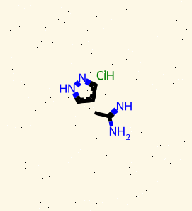 CC(=N)N.Cl.c1cn[nH]c1